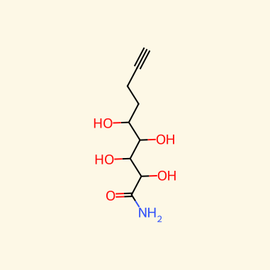 C#CCCC(O)C(O)C(O)C(O)C(N)=O